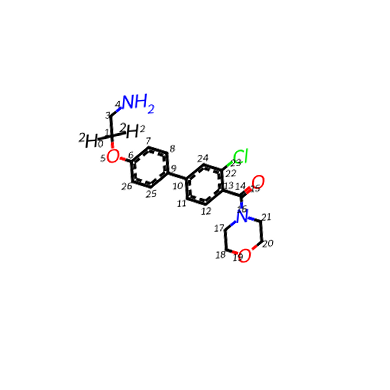 [2H]C([2H])(CN)Oc1ccc(-c2ccc(C(=O)N3CCOCC3)c(Cl)c2)cc1